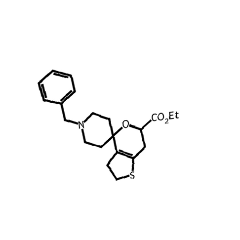 CCOC(=O)C1CC2=C(CCS2)C2(CCN(Cc3ccccc3)CC2)O1